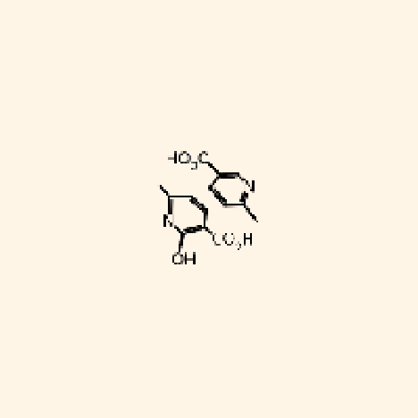 Cc1ccc(C(=O)O)c(O)n1.Cc1ccc(C(=O)O)cn1